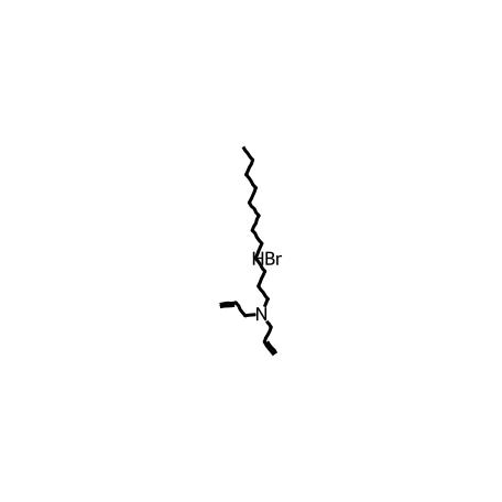 Br.C=CCN(CC=C)CCCCCCCCCCCC